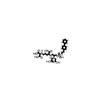 O=C(O)CN(CC(=O)O)C(CNC(CCCNC(C(=O)O)C(=O)O)C(=O)O)COP(=O)(O)OCCc1ccc(-c2ccccc2)cc1